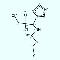 O=C(CCCl)NC(n1cncn1)C(Cl)(Cl)CCl